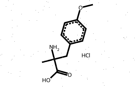 COc1ccc(CC(C)(N)C(=O)O)cc1.Cl